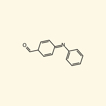 O=CC1C=CC(=Nc2ccccc2)C=C1